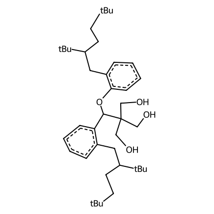 CC(C)(C)CCC(Cc1ccccc1OC(c1ccccc1CC(CCC(C)(C)C)C(C)(C)C)C(CO)(CO)CO)C(C)(C)C